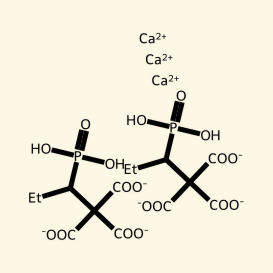 CCC(C(C(=O)[O-])(C(=O)[O-])C(=O)[O-])P(=O)(O)O.CCC(C(C(=O)[O-])(C(=O)[O-])C(=O)[O-])P(=O)(O)O.[Ca+2].[Ca+2].[Ca+2]